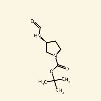 CC(C)(C)OC(=O)N1CC[C@H](NC=O)C1